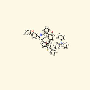 C1=Cc2oc3cc(C4CC(c5ccccc5)=CC(c5cccc6oc7ccc(-c8ccc9sc%10cccc(-c%11ccc%12c(c%11)c%11ccccc%11n%12-c%11ccccc%11)c%10c9c8)cc7c56)=N4)ccc3c2CC1